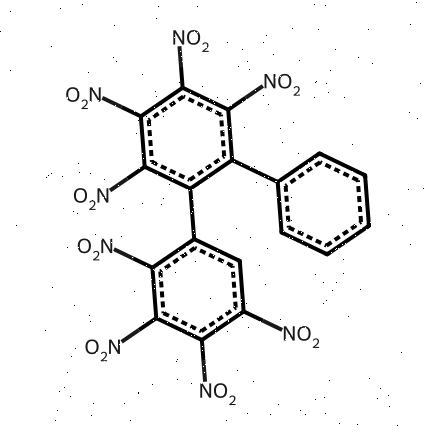 O=[N+]([O-])c1cc(-c2c(-c3ccccc3)c([N+](=O)[O-])c([N+](=O)[O-])c([N+](=O)[O-])c2[N+](=O)[O-])c([N+](=O)[O-])c([N+](=O)[O-])c1[N+](=O)[O-]